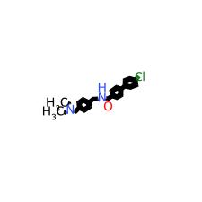 CCN(CC)Cc1ccc(CCNC(=O)c2ccc(-c3ccc(Cl)cc3)cc2)cc1